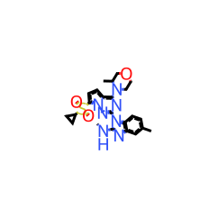 CNc1nc2cc(C)ccc2n1-c1nc(N2CCOCC2C)c2ccc(S(=O)(=O)C3CC3)n2n1